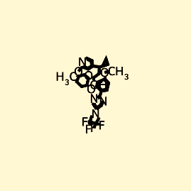 COc1ccc(-c2ncc(N3CC(F)(F)C(F)(F)C3)cn2)c(O[C@H]2CC[C@](C)(Oc3cc(C(CC(=O)O)C4CC4)ccn3)CC2)c1